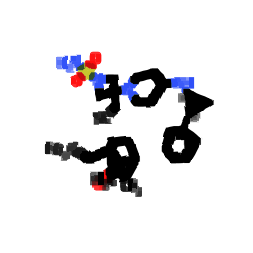 CC1(C)C2CCC1(CS(=O)(=O)O)C(=O)C2.N#CCC1(N2CCC(N[C@@H]3C[C@H]3c3ccccc3)CC2)CN(S(N)(=O)=O)C1